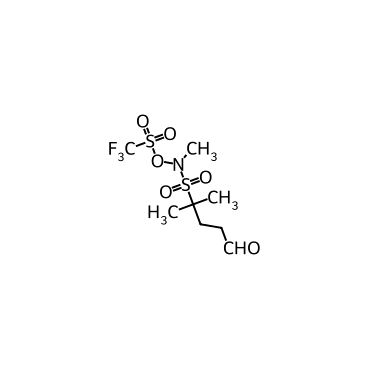 CN(OS(=O)(=O)C(F)(F)F)S(=O)(=O)C(C)(C)CCC=O